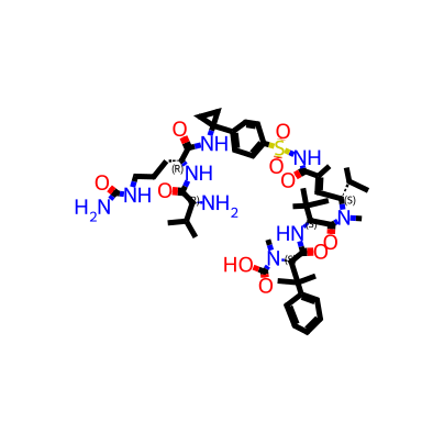 CC(=C[C@H](C(C)C)N(C)C(=O)[C@@H](NC(=O)[C@@H](N(C)C(=O)O)C(C)(C)c1ccccc1)C(C)(C)C)C(=O)NS(=O)(=O)c1ccc(C2(NC(=O)[C@@H](CCCNC(N)=O)NC(=O)[C@H](N)C(C)C)CC2)cc1